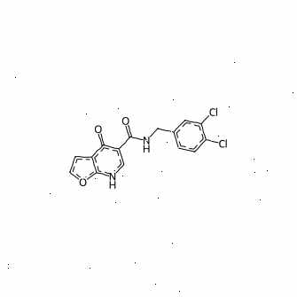 O=C(NCc1ccc(Cl)c(Cl)c1)c1c[nH]c2occc2c1=O